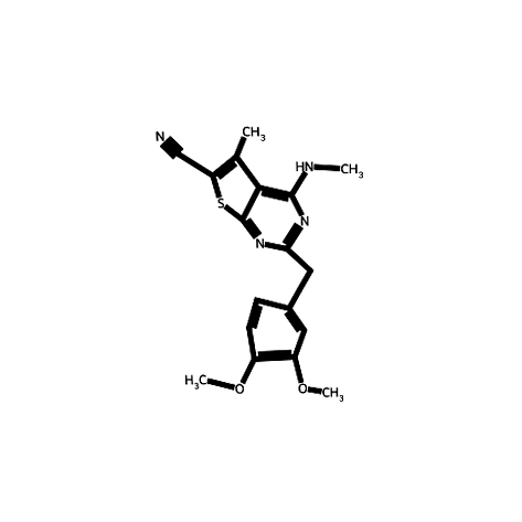 CNc1nc(Cc2ccc(OC)c(OC)c2)nc2sc(C#N)c(C)c12